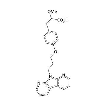 COC(Cc1ccc(OCCCn2c3ncccc3c3cccnc32)cc1)C(=O)O